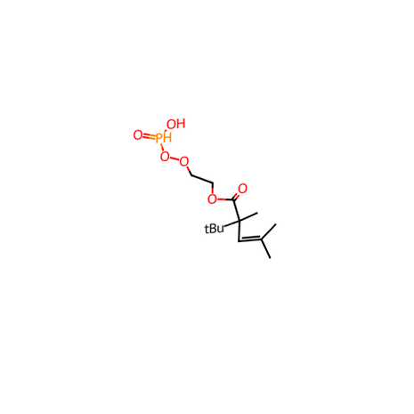 CC(C)=CC(C)(C(=O)OCCOO[PH](=O)O)C(C)(C)C